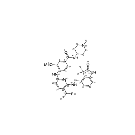 COc1cc(C(=O)NC2CCN(C)CC2)ccc1Nc1ncc(C(F)F)c(NCc2cccc3c2C(C)(C)C(=O)N3)n1